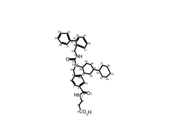 O=C(O)CCNC(=O)c1ccc(CN(C(=O)NCc2ccccc2-c2ccccc2)C2CCC(C3CCCCC3)CC2)cc1